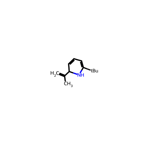 C=C(C)C1C=CC=C(C(C)(C)C)N1